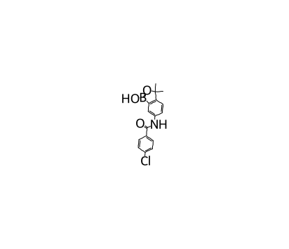 CC1(C)OB(O)c2cc(NC(=O)c3ccc(Cl)cc3)ccc21